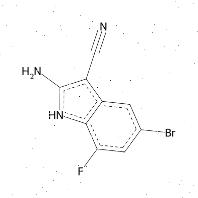 N#Cc1c(N)[nH]c2c(F)cc(Br)cc12